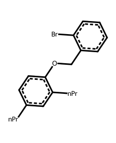 CCCc1ccc(OCc2ccccc2Br)c(CCC)c1